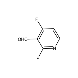 O=Cc1c(F)ccnc1F